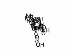 Cc1cc(O)ccc1COc1ccc(CS[P@@]2(=O)OC[C@H]3O[C@@H](n4cnc5c(N)ncnc54)[C@H](OP(=O)(O)OC[C@H]4O[C@@H](n5ccc(=O)[nH]c5=O)[C@H](O2)[C@@H]4F)[C@@H]3F)cc1